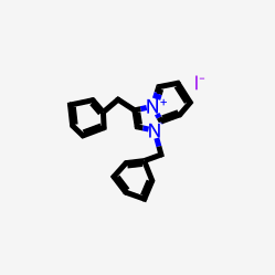 [I-].c1ccc(Cc2cn(Cc3ccccc3)c3cccc[n+]23)cc1